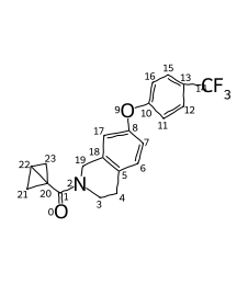 O=C(N1CCc2ccc(Oc3ccc(C(F)(F)F)cc3)cc2C1)C12CC1C2